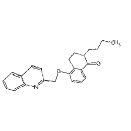 CCCCC1CCc2c(OCc3ccc4ccccc4n3)cccc2C1=O